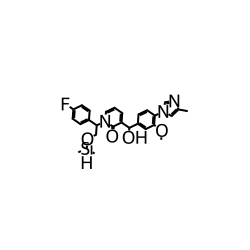 COc1cc(C(O)c2cccn(C(CO[SiH](C)C)c3ccc(F)cc3)c2=O)ccc1-n1cnc(C)c1